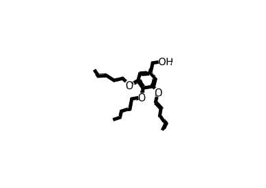 CCCCCOc1cc(CO)cc(OCCCCC)c1OCCCCC